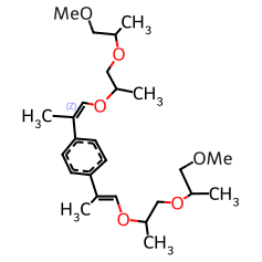 COCC(C)OCC(C)OC=C(C)c1ccc(/C(C)=C\OC(C)COC(C)COC)cc1